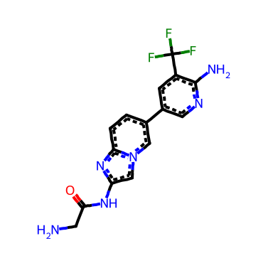 NCC(=O)Nc1cn2cc(-c3cnc(N)c(C(F)(F)F)c3)ccc2n1